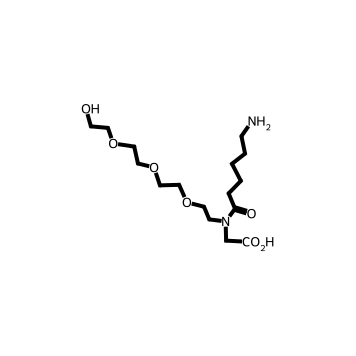 NCCCCCC(=O)N(CCOCCOCCOCCO)CC(=O)O